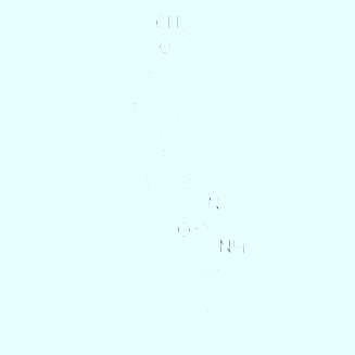 COCc1ccc(-c2ccc3oc(Nc4ccccc4)nc3c2)cc1